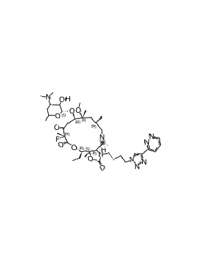 CC[C@H]1OC(=O)[C@](C)(F)C(=O)C[C@@H](O[C@@H]2OC(C)CC(N(C)C)C2O)[C@](C)(OC)C[C@@H](C)CN[C@H](C)[C@H]2N(CCCCn3cc(-c4cccnn4)nn3)C(=O)O[C@]12C